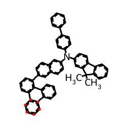 CC1(C)c2ccccc2-c2ccc(N(c3ccc(-c4ccccc4)cc3)c3ccc4cc(-c5cccc(-c6ccccc6)c5-c5ccccc5-c5ccccc5)ccc4c3)cc21